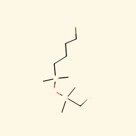 C[Si](C)(CBr)O[Si](C)(C)CCCCBr